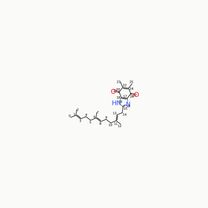 CC(C)=CCC/C(C)=C/CC/C(C)=C/Cc1nc2c([nH]1)C(=O)C(C)=C(C)C2=O